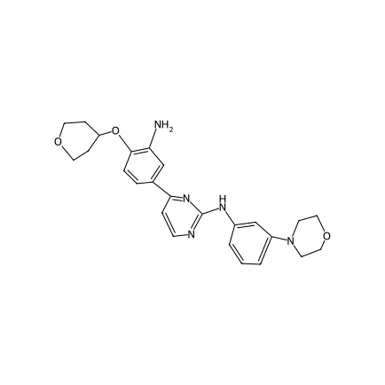 Nc1cc(-c2ccnc(Nc3cccc(N4CCOCC4)c3)n2)ccc1OC1CCOCC1